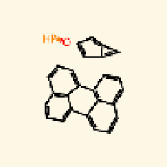 O=P.c1cc2cc-2c1.c1cc2cccc3c4cccc5cccc(c(c1)c23)c54